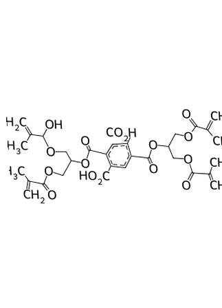 C=C(C)C(=O)OCC(COC(=O)C(=C)C)OC(=O)c1cc(C(=O)O)c(C(=O)OC(COC(=O)C(=C)C)COC(O)C(=C)C)cc1C(=O)O